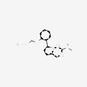 C[S+]([O-])c1ncc2ccc(-c3ccccc3OCC(=O)O)n2n1